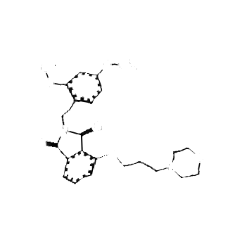 COc1ccc(CN2C(=O)c3cccc(OCCCN4CCOCC4)c3C2=O)c(OC)c1